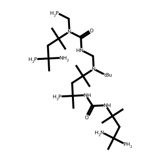 CC(N)(P)CC(C)(C)NC(=O)NC(C)(P)CC(C)(C)N(CNC(=O)N(CP)C(C)(C)CC(C)(N)P)C(C)(C)C